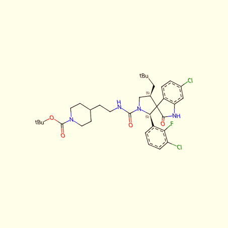 CC(C)(C)C[C@@H]1CN(C(=O)NCCC2CCN(C(=O)OC(C)(C)C)CC2)[C@H](c2cccc(Cl)c2F)C12C(=O)Nc1cc(Cl)ccc12